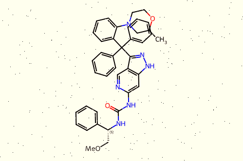 COC[C@@H](NC(=O)Nc1cc2[nH]nc(C(c3ccccc3)(c3ccccc3)c3ccccc3N3CCOC(C)C3)c2cn1)c1ccccc1